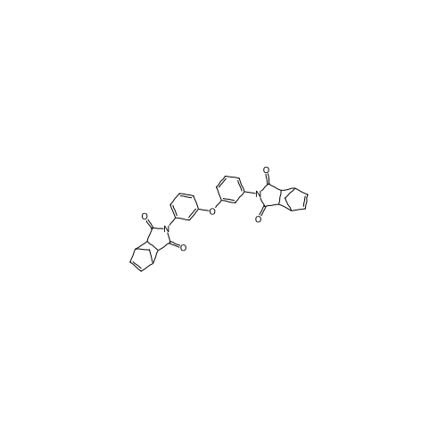 O=C1C2C3C=CC(C3)C2C(=O)N1c1cccc(Oc2cccc(N3C(=O)C4C5C=CC(C5)C4C3=O)c2)c1